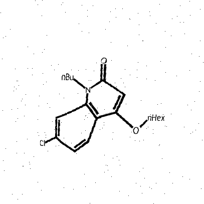 CCCCCCOc1cc(=O)n(CCCC)c2cc(Cl)ccc12